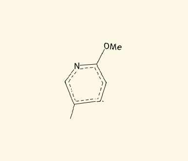 COc1c[c]c(C)cn1